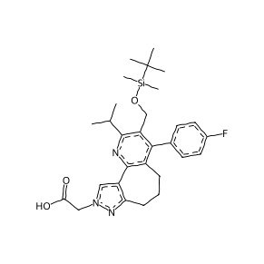 CC(C)c1nc2c(c(-c3ccc(F)cc3)c1CO[Si](C)(C)C(C)(C)C)CCCc1nn(CC(=O)O)cc1-2